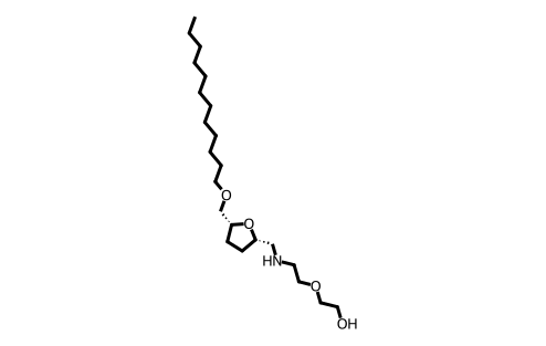 CCCCCCCCCCCCOC[C@H]1CC[C@@H](CNCCOCCO)O1